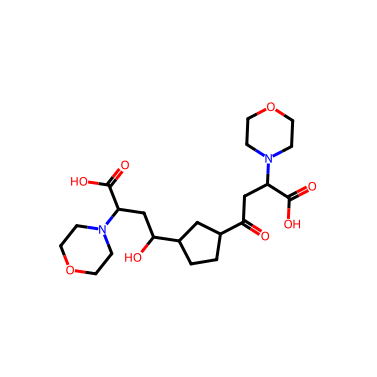 O=C(CC(C(=O)O)N1CCOCC1)C1CCC(C(O)CC(C(=O)O)N2CCOCC2)C1